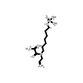 C=CCN(CCCCCCCOP(=O)(O)O)C(=O)C(=C)C